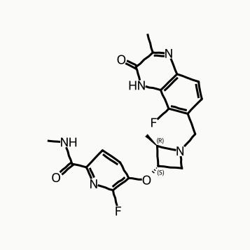 CNC(=O)c1ccc(O[C@H]2CN(Cc3ccc4nc(C)c(=O)[nH]c4c3F)[C@@H]2C)c(F)n1